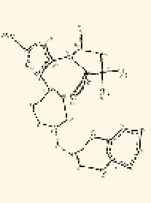 Cc1nc(N2CCN(C[C@H]3COc4ccccc4O3)CC2)c(N2C(=O)CC(C)(C)C2=O)s1